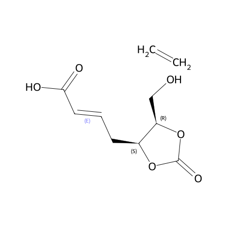 C=C.O=C(O)/C=C/C[C@@H]1OC(=O)O[C@@H]1CO